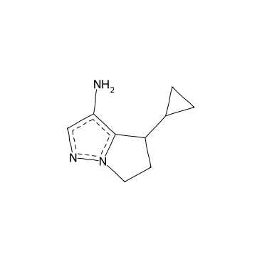 Nc1cnn2c1C(C1CC1)CC2